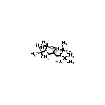 CC(C)(C)P(CC(N)CP(C(C)(C)C)C(C)(C)C)C(C)(C)C